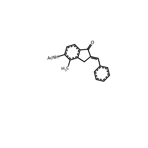 CC(=O)Nc1ccc2c(c1C)C/C(=C\c1ccccc1)C2=O